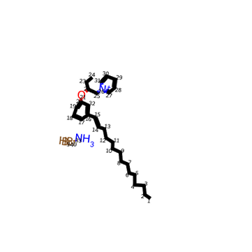 Br.CCCCCCCCCCCCCC=Cc1cccc(OC(CC)C[n+]2ccccc2)c1.N.[Br-]